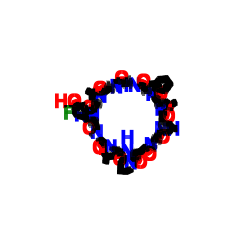 CC(C)C[C@@H]1NC(=O)[C@H](C)N(C)C(=O)C[C@@H](C(=O)N2CCCCC2)NC(=O)[C@H](CC(C)C)N(C)C(=O)CN(C)C(=O)[C@H](Cc2ccc(O)c(F)c2)NC(=O)[C@H](CC(C)C)N(C)C(=O)[C@H](C)N(C)C(=O)[C@H](C)NC(=O)[C@H](Cc2ccccc2)N(C)C(=O)[C@H](CC(C)C)N(C)C1=O